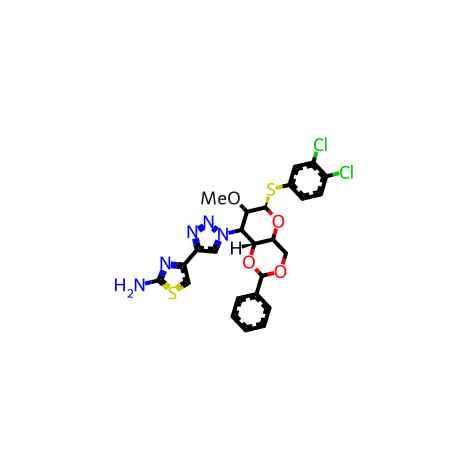 COC1C(n2cc(-c3csc(N)n3)nn2)[C@H]2OC(c3ccccc3)OCC2O[C@@H]1Sc1ccc(Cl)c(Cl)c1